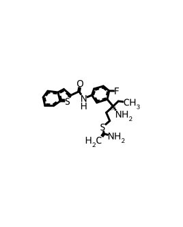 C=C(N)SCC[C@@](N)(CC)c1cc(NC(=O)c2cc3ccccc3s2)ccc1F